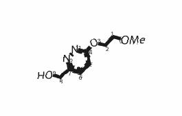 COCCOc1ccc(CO)nn1